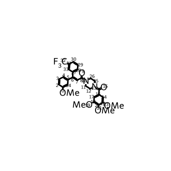 COc1cccc(C(=CC(=O)N2CCN(C(=O)c3cc(OC)c(OC)c(OC)c3)CC2)c2cccc(C(F)(F)F)c2)c1